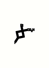 CCC1(C(=O)O)CC(I)C1